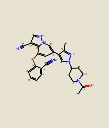 CC(=O)N1CCC(n2cc(-c3cc(Sc4ccccc4C#N)c4c(C#N)cnn4c3)c(C)n2)CC1